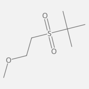 COCCS(=O)(=O)C(C)(C)C